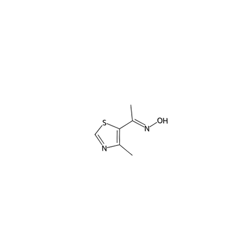 CC(=NO)c1scnc1C